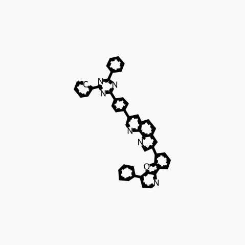 c1ccc(-c2nc(-c3ccccc3)nc(-c3ccc(-c4cnc5c(ccc6cc(-c7cccc8c7oc7c(-c9ccccc9)ccnc78)cnc65)c4)cc3)n2)cc1